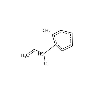 C.C=C[SiH](Cl)c1ccccc1